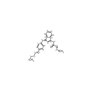 CCCCOc1ccc(Cn2cc(CC(=O)OCC)c3ccccc32)cc1